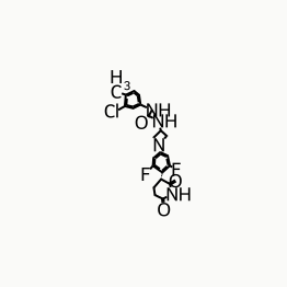 Cc1ccc(NC(=O)NC2CN(c3cc(F)c([C@H]4CCC(=O)NC4=O)c(F)c3)C2)cc1Cl